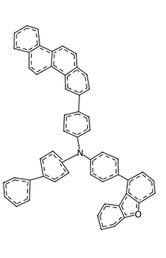 c1ccc(-c2ccc(N(c3ccc(-c4ccc5ccc6c7ccccc7ccc6c5c4)cc3)c3ccc(-c4cccc5oc6ccccc6c45)cc3)cc2)cc1